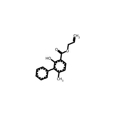 C=CCOC(=O)c1ccc(C)c(-c2ccccc2)c1O